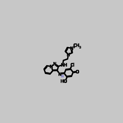 C[n+]1ccn(CCNc2nn3ccccc3c2/N=C2\C=C(Cl)C(=O)C=C2O)c1